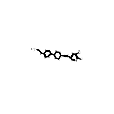 CCCc1ccc(C2CCC(C#Cc3cnc(Cl)c(Cl)c3)CC2)cc1